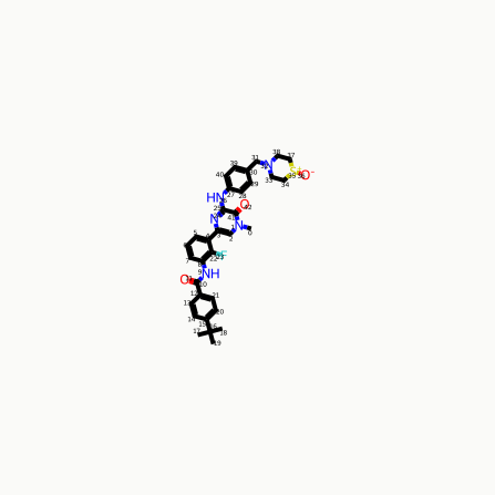 Cn1cc(-c2cccc(NC(=O)c3ccc(C(C)(C)C)cc3)c2F)nc(Nc2ccc(CN3CC[S+]([O-])CC3)cc2)c1=O